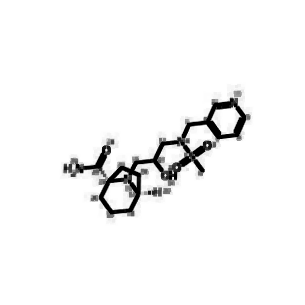 CS(=O)(=O)N(Cc1cccnc1)CC(O)CN1[C@@H]2C[CH]C[C@@]1(C(N)=O)CC2